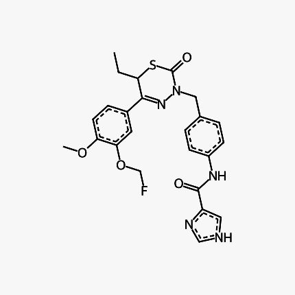 CCC1SC(=O)N(Cc2ccc(NC(=O)c3c[nH]cn3)cc2)N=C1c1ccc(OC)c(OCF)c1